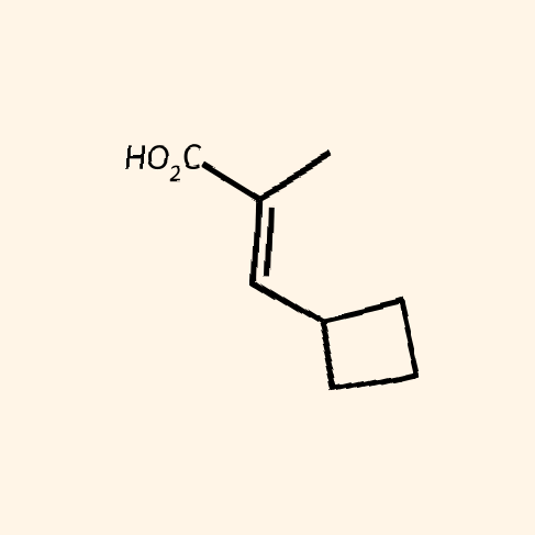 CC(=CC1CCC1)C(=O)O